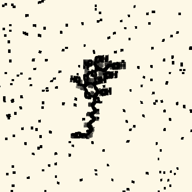 CCCCCCCCCCCCCCCCO[C@@H]1OC(CO)[C@@H](O[C@H](CO)OC(CO)[C@@H](O)CO)C(O)C1O